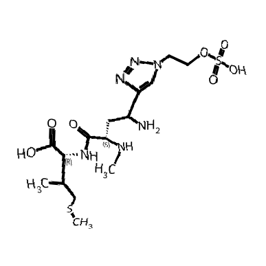 CN[C@@H](CC(N)c1cn(CCOS(=O)(=O)O)nn1)C(=O)N[C@@H](C(=O)O)C(C)CSC